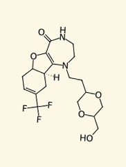 O=C1NCCN(CCC2COC(CO)CO2)C2=C1OC1CC=C(C(F)(F)F)C[C@H]21